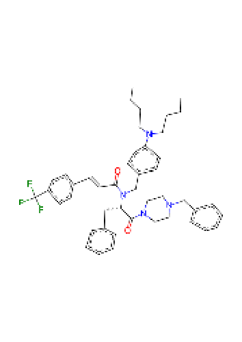 CCCCN(CCCC)c1ccc(CN(C(=O)/C=C/c2ccc(C(F)(F)F)cc2)[C@@H](Cc2ccccc2)C(=O)N2CCN(Cc3ccccc3)CC2)cc1